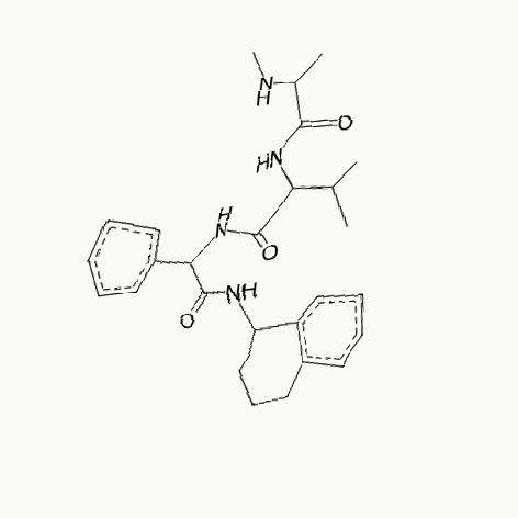 CNC(C)C(=O)NC(C(=O)NC(C(=O)NC1CCCc2ccccc21)c1ccccc1)C(C)C